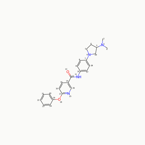 CN(C)C1CCN(c2ccc(NC(=O)c3ccc(Oc4ccccc4)nc3)cc2)C1